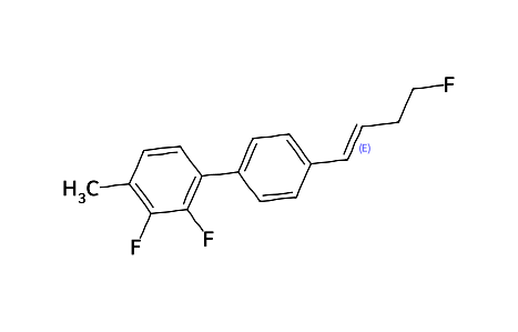 Cc1ccc(-c2ccc(/C=C/CCF)cc2)c(F)c1F